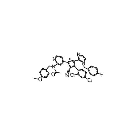 COc1ccc(CN(C(C)=O)c2cc(-c3sc(-c4nccn4Cc4ccc(F)cc4)c(-c4ccc(Cl)cc4Cl)c3C#N)ccn2)cc1